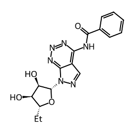 CC[C@H]1O[C@@H](n2ncc3c(NC(=O)c4ccccc4)nnnc32)[C@H](O)[C@@H]1O